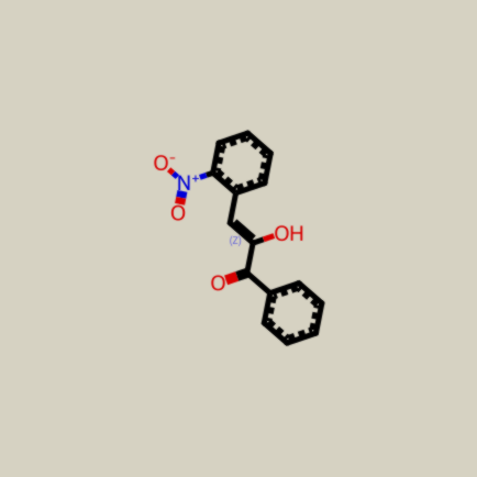 O=C(/C(O)=C/c1ccccc1[N+](=O)[O-])c1ccccc1